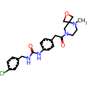 CN1CCN(C(=O)Cc2ccc(NC(=O)NCc3ccc(Cl)cc3)cc2)CC12COC2